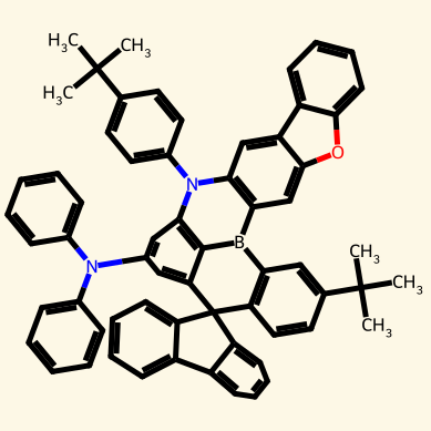 CC(C)(C)c1ccc(N2c3cc4c(cc3B3c5cc(C(C)(C)C)ccc5C5(c6ccccc6-c6ccccc65)c5cc(N(c6ccccc6)c6ccccc6)cc2c53)oc2ccccc24)cc1